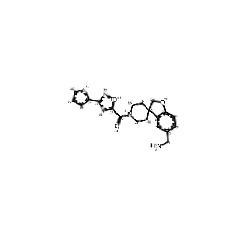 NCc1ccc2c(c1)C1(CCN(C(=O)c3nc(-c4cccs4)no3)CC1)CO2